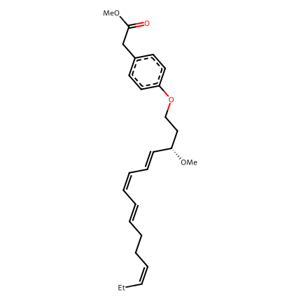 CC/C=C\CC/C=C/C=C\C=C\[C@H](CCOc1ccc(CC(=O)OC)cc1)OC